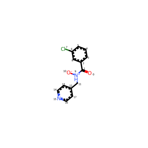 O=C(c1cccc(Cl)c1)[NH+]([O-])Cc1ccncc1